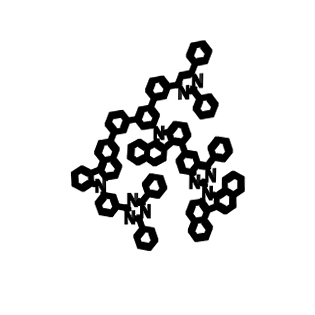 c1ccc(-c2cc(-c3cccc(-c4cc(-c5cccc(-c6ccc7c(ccc8c7c7ccccc7n8-c7cccc(-c8nc(-c9ccccc9)nc(-c9ccccc9)n8)c7)c6)c5)cc(-n5c6cccc(-c7ccc8nc(-n9c%10ccc%11ccccc%11c%10c%10ccc%11ccccc%11c%109)nc(-c9ccccc9)c8c7)c6c6ccc7ccccc7c65)c4)c3)nc(-c3ccccc3)n2)cc1